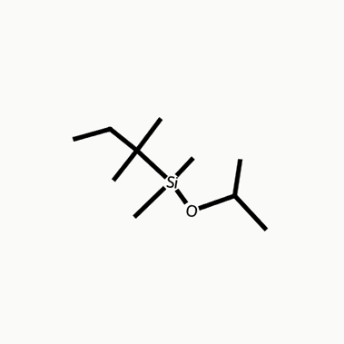 CCC(C)(C)[Si](C)(C)OC(C)C